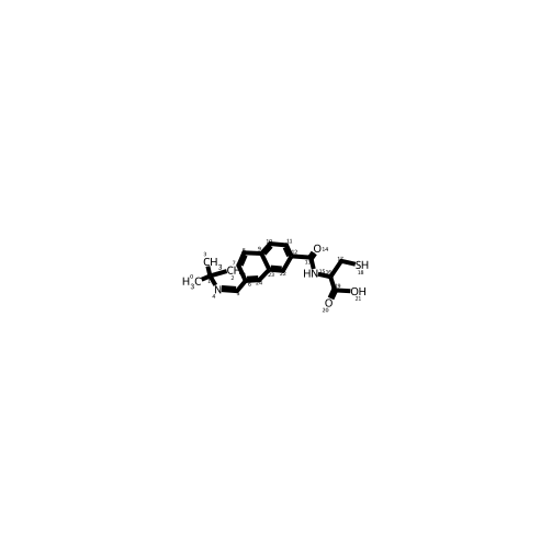 CC(C)(C)/N=C\c1ccc2ccc(C(=O)NC(CS)C(=O)O)cc2c1